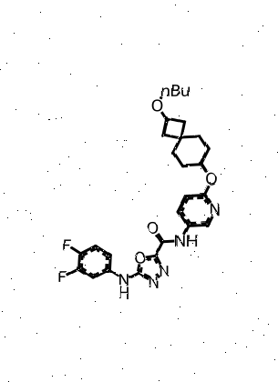 CCCCOC1CC2(CCC(Oc3ccc(NC(=O)c4nnc(Nc5ccc(F)c(F)c5)o4)cn3)CC2)C1